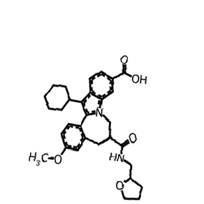 COc1ccc2c(c1)CC(C(=O)NCC1CCCO1)Cn1c-2c(C2CCCCC2)c2ccc(C(=O)O)cc21